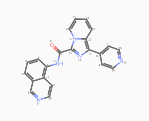 O=C(Nc1cccc2cnccc12)c1nc(-c2ccncc2)c2ccccn12